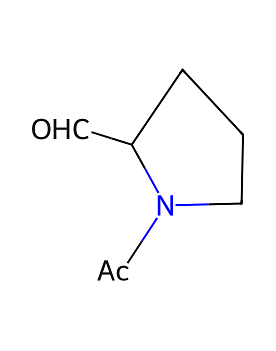 CC(=O)N1CCCC1C=O